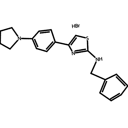 Br.c1ccc(CNc2nc(-c3ccc(N4CCCC4)cc3)cs2)cc1